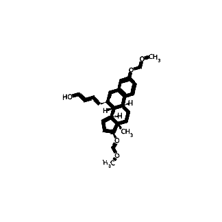 COCOc1ccc2c(c1)C[C@@H](CCCCO)[C@@H]1[C@@H]2CC[C@]2(C)[C@@H](OCOC)CC[C@@H]12